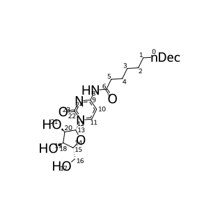 CCCCCCCCCCCCCCCC(=O)Nc1ccn([C@@H]2O[C@H](CO)[C@@H](O)[C@H]2O)c(=O)n1